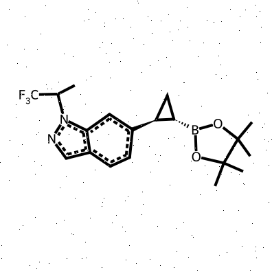 CC(n1ncc2ccc([C@H]3C[C@@H]3B3OC(C)(C)C(C)(C)O3)cc21)C(F)(F)F